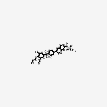 CC(C)(c1ccc(-c2cnc3nc(NS(C)(=O)=O)ncc3c2)cc1)c1cc(Cl)c(OCCCl)c(C#N)c1